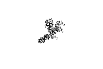 C=C[C@@H]1C[C@]1(NC(=O)[C@@H]1C[C@@H](Oc2nccc3cc(OC)ccc23)CN1C(=O)[C@@H](NC(=O)OC(=C)C)C(C)(C)C)C(=O)NS(=O)(=O)c1cccs1